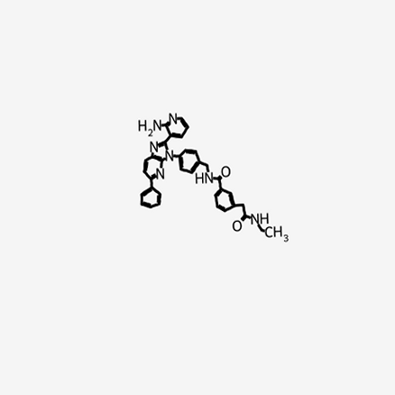 CCNC(=O)Cc1cccc(C(=O)NCc2ccc(-n3c(-c4cccnc4N)nc4ccc(-c5ccccc5)nc43)cc2)c1